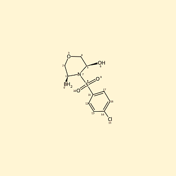 B[C@H]1COC[C@@H](O)N1S(=O)(=O)c1ccc(Cl)cc1